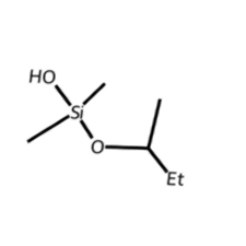 CCC(C)O[Si](C)(C)O